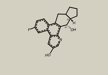 Oc1cnc2c3c(c4ccc(F)cc4c2c1)CC1CCC[C@@H]1[C@@H]3O